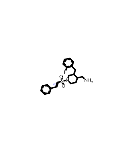 NCC1CCN(S(=O)(=O)/C=C/c2ccccc2)CC1Cc1ccccc1F